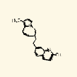 Cc1ccc2ccc(CCc3ccc4c(C)ccn4c3)cc2n1